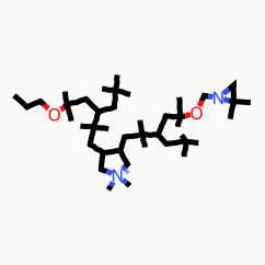 CCCOC(C)(C)CC(CC(C)(C)C)C(C)(C)CC1C[N+](C)(C)CC1CC(C)(C)C(CC(C)(C)C)CC(C)(C)OCN1CC1(C)C